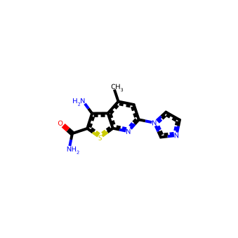 Cc1cc(-n2ccnc2)nc2sc(C(N)=O)c(N)c12